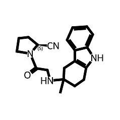 CC1(NCC(=O)N2CCC[C@H]2C#N)CCc2[nH]c3ccccc3c2C1